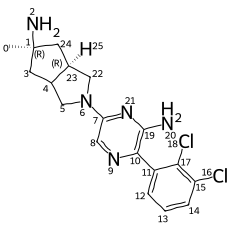 C[C@@]1(N)CC2CN(c3cnc(-c4cccc(Cl)c4Cl)c(N)n3)C[C@@H]2C1